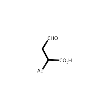 CC(=O)C(CC=O)C(=O)O